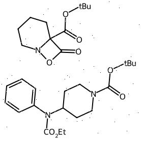 CC(C)(C)OC(=O)C12CCCCN1OC2=O.CCOC(=O)N(c1ccccc1)C1CCN(C(=O)OC(C)(C)C)CC1